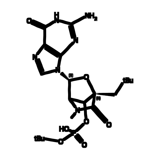 CN1C(=O)[C@]2(CC(C)(C)C)O[C@@H](n3cnc4c(=O)[nH]c(N)nc43)C1C2OP(=O)(O)OC(C)(C)C